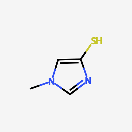 Cn1cnc(S)c1